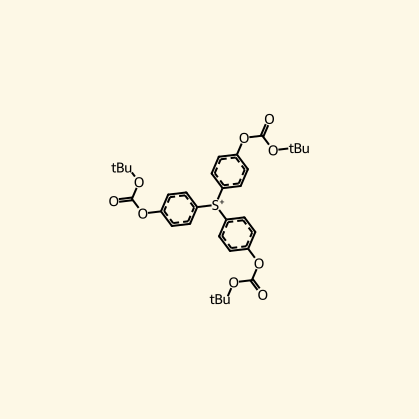 CC(C)(C)OC(=O)Oc1ccc([S+](c2ccc(OC(=O)OC(C)(C)C)cc2)c2ccc(OC(=O)OC(C)(C)C)cc2)cc1